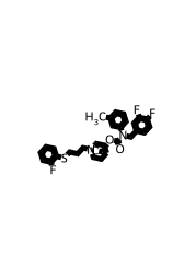 Cc1cccc(N(Cc2ccc(F)c(F)c2)C(=O)OC2C[N+]3(CCCSc4ccccc4F)CCC2CC3)c1